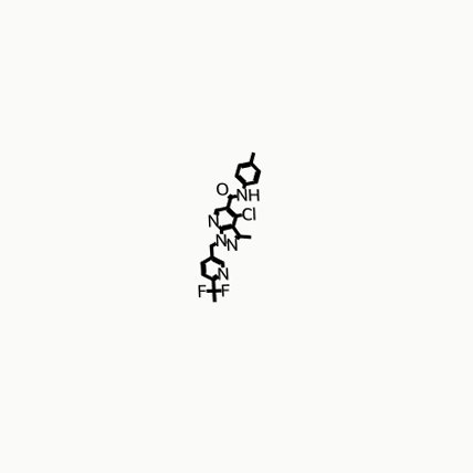 Cc1ccc(NC(=O)c2cnc3c(c(C)nn3Cc3ccc(C(C)(F)F)nc3)c2Cl)cc1